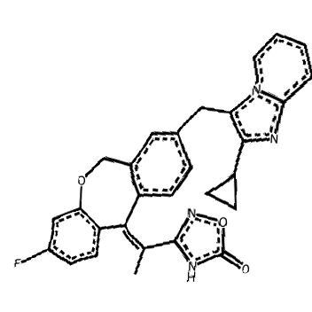 C/C(=C1/c2ccc(Cc3c(C4CC4)nc4ccccn34)cc2COc2cc(F)ccc21)c1noc(=O)[nH]1